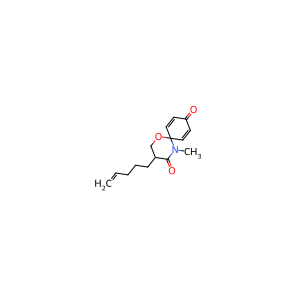 C=CCCCC1COC2(C=CC(=O)C=C2)N(C)C1=O